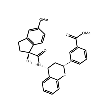 COC(=O)c1cccc([C@H]2C[C@@H](NC(=O)[C@]3(C)CCc4cc(OC)ccc43)c3ccccc3O2)c1